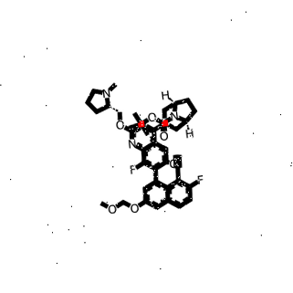 C#Cc1c(F)ccc2cc(OCOC)cc(-c3c(Cl)cc4c(N5C[C@H]6CC[C@@H](C5)N6C(=O)OC(C)(C)C)nc(OC[C@@H]5CCCN5C)nc4c3F)c12